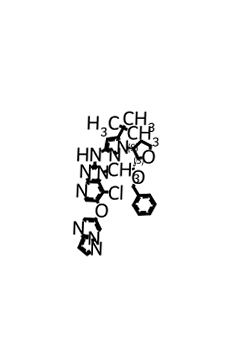 Cn1c(Nc2cc(C(C)(C)C)n([C@H]3CCO[C@@H]3COCc3ccccc3)n2)nc2ncc(Oc3cnc4ccnn4c3)c(Cl)c21